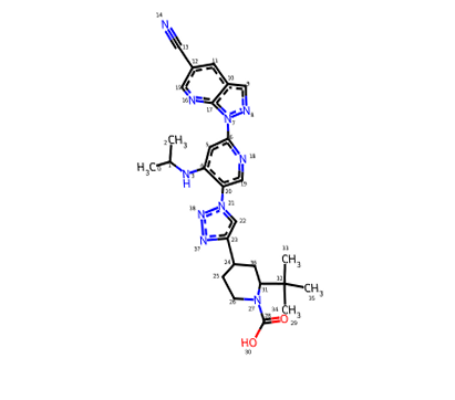 CC(C)Nc1cc(-n2ncc3cc(C#N)cnc32)ncc1-n1cc(C2CCN(C(=O)O)C(C(C)(C)C)C2)nn1